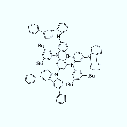 CC(C)(C)c1cc(N2c3cc(-n4c5ccccc5c5ccccc54)ccc3B3c4ccc(-n5c6ccccc6c6cc(-c7ccccc7)ccc65)cc4N(c4cc(C(C)(C)C)cc(C(C)(C)C)c4)c4cc(-n5c6ccc(-c7ccccc7)cc6c6cc(-c7ccccc7)ccc65)cc2c43)cc(C(C)(C)C)c1